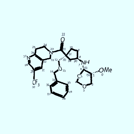 CO[C@@H]1COCC[C@@H]1N[C@@H]1CC[C@](COCc2ccccc2)(C(=O)N2CCc3ncc(C(F)(F)F)cc3C2)C1